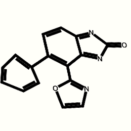 O=C1N=c2ccc(-c3ccccc3)c(-c3ncco3)c2=N1